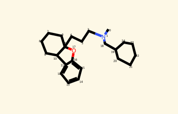 CN(CCCC12CCCCC1c1ccccc1O2)CC1CCCCC1